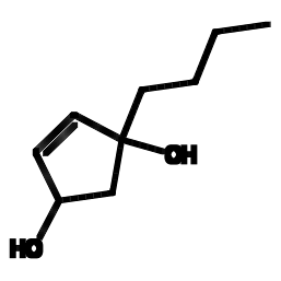 CCCCC1(O)C=CC(O)C1